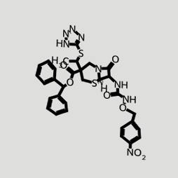 CC(Sc1nnn[nH]1)C1(C(=O)OC(c2ccccc2)c2ccccc2)CS[C@@H]2C(NC(=O)NOCc3ccc([N+](=O)[O-])cc3)C(=O)N2C1